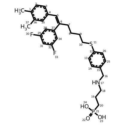 Cc1ccc(C=C(CCCCSc2ccc(CNCCCP(=O)(O)O)cc2)c2cc(F)cc(F)c2)cc1C